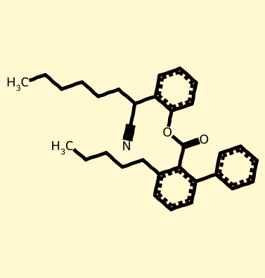 CCCCCCC(C#N)c1ccccc1OC(=O)c1c(CCCCC)cccc1-c1ccccc1